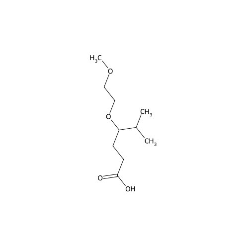 COCCOC(CCC(=O)O)C(C)C